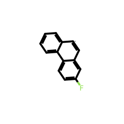 Fc1ccc2c(c[c]c3ccccc32)c1